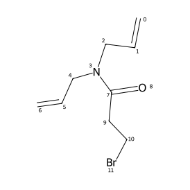 C=CCN(CC=C)C(=O)CCBr